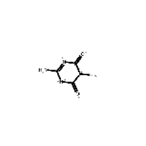 NC1=NC(=O)C(F)C(=O)N1